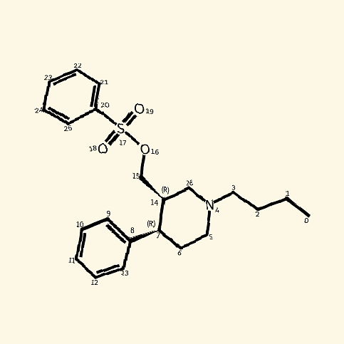 CCCCN1CC[C@@H](c2ccccc2)[C@@H](COS(=O)(=O)c2ccccc2)C1